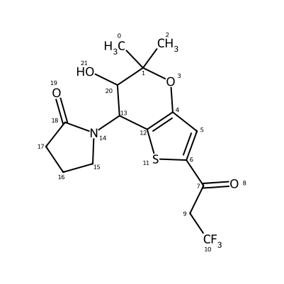 CC1(C)Oc2cc(C(=O)CC(F)(F)F)sc2C(N2CCCC2=O)C1O